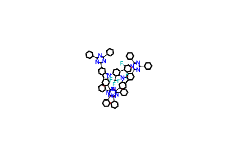 Fc1cccc(F)c1-c1ccc(-n2c3cc(-c4nc(-c5ccccc5)nc(-c5ccccc5)n4)ccc3c3ccc(-c4nc(-c5ccccc5)nc(-c5ccccc5)n4)cc32)c(C(F)(F)F)c1-n1c2cc(-c3nc(-c4ccccc4)nc(-c4ccccc4)n3)ccc2c2ccc(-c3nc(-c4ccccc4)nc(-c4ccccc4)n3)cc21